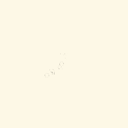 CCCCCCCCSC(Cc1ccc2oc(Cc3nc(-c4ccccc4)oc3C)cc2c1)C(=O)OCC